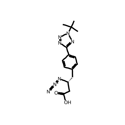 CC(C)(C)n1nnc(-c2ccc(C[C@H](CC(=O)O)N=[N+]=[N-])cc2)n1